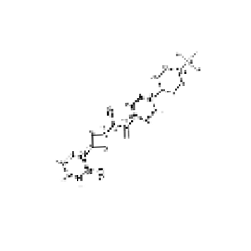 CC(C)(C)N1CCC(c2ccc(NC(=O)N3CC(c4cccnc4Cl)C3)cc2)CC1